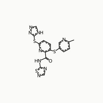 Cc1ccc(Sc2ccc(Sc3nnc[nH]3)nc2C(=O)Nc2ncns2)cn1